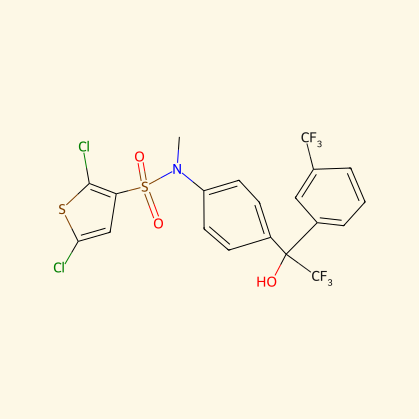 CN(c1ccc(C(O)(c2cccc(C(F)(F)F)c2)C(F)(F)F)cc1)S(=O)(=O)c1cc(Cl)sc1Cl